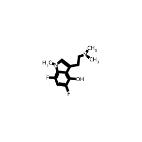 CN(C)CCc1cn(C)c2c(F)cc(F)c(O)c12